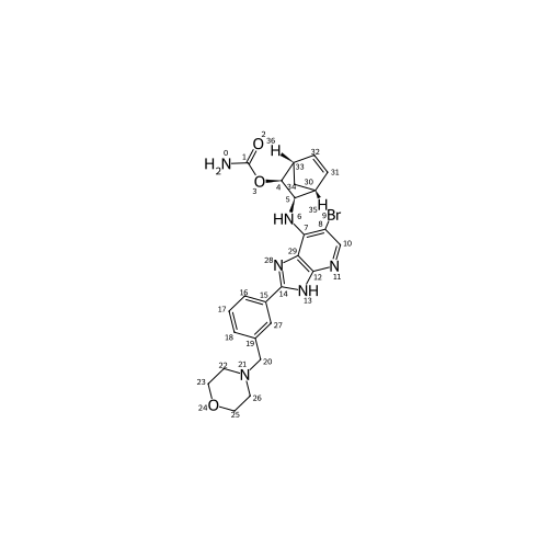 NC(=O)O[C@@H]1[C@H](Nc2c(Br)cnc3[nH]c(-c4cccc(CN5CCOCC5)c4)nc23)[C@H]2C=C[C@@H]1C2